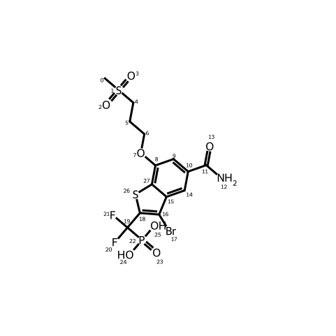 CS(=O)(=O)CCCOc1cc(C(N)=O)cc2c(Br)c(C(F)(F)P(=O)(O)O)sc12